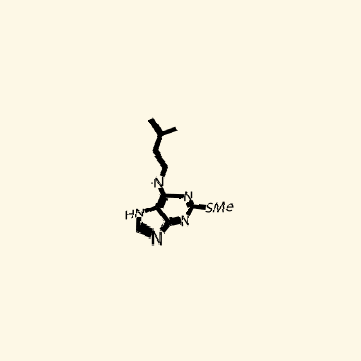 C=C(C)CC[N]c1nc(SC)nc2nc[nH]c12